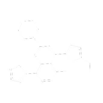 Cc1cnc(-c2ccn[nH]2)c2nc(N3CCOC[C@H]3C)cc(-c3ccc(CO)s3)c12